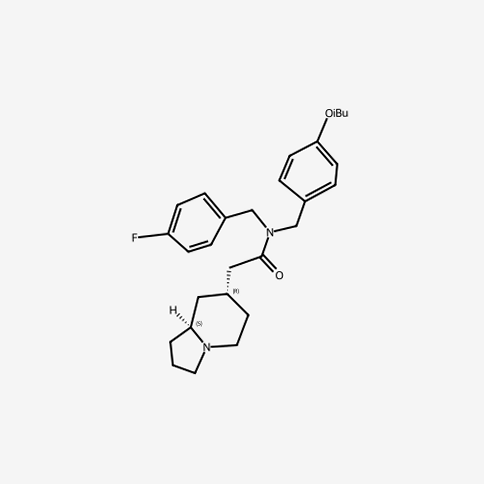 CC(C)COc1ccc(CN(Cc2ccc(F)cc2)C(=O)C[C@@H]2CCN3CCC[C@H]3C2)cc1